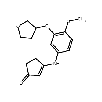 COc1ccc(NC2=CC(=O)CC2)cc1OC1CCOC1